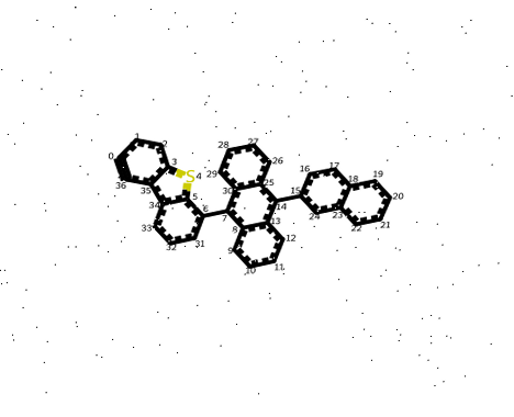 c1ccc2sc3c(-c4c5ccccc5c(-c5ccc6ccccc6c5)c5ccccc45)cccc3c2c#1